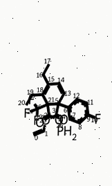 C=COC(=O)C1(c2ccc(F)cc2)C=CC(CC)=C(CC)C1(C(=O)OP)C(F)(F)F